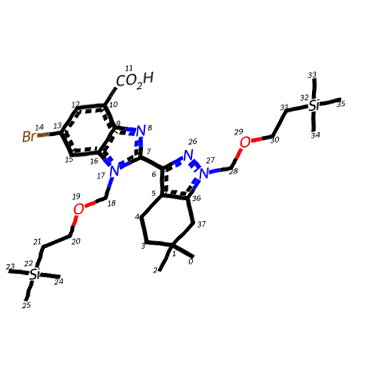 CC1(C)CCc2c(-c3nc4c(C(=O)O)cc(Br)cc4n3COCC[Si](C)(C)C)nn(COCC[Si](C)(C)C)c2C1